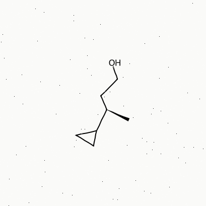 C[C@H](CCO)C1CC1